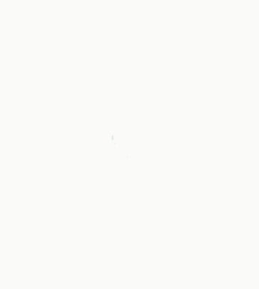 C=C=C.F